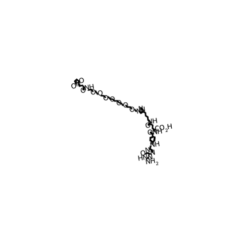 Nc1nc2ncc(CNc3ccc(C(=O)N[C@@H](CCC(=O)NCCCCc4cn(CCOCCOCCOCCOCCOCCOCCOCCNC(=O)CCN5C(=O)C=CC5=O)nn4)C(=O)O)cc3)nc2c(=O)[nH]1